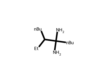 CCCCC(CC)C(N)(N)CCCC